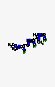 Cc1ccc(CN(C)C[C@H]2Cc3c(cc(Cc4cccnc4CN(C)C[C@H]4Cc5c(cc(Cc6cc(C)cnc6CN(C)C[C@H]6Cc7c(cccc7N7CCC(F)(F)CC7)CN6)cc5N5CCC(F)(F)CC5)CN4)cc3N3CCC(F)(F)CC3)CN2)nc1